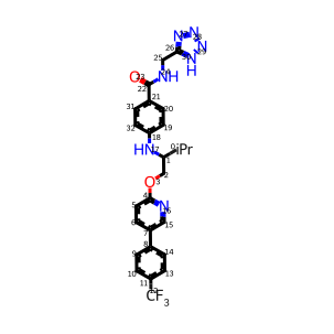 CC(C)C(COc1ccc(-c2ccc(C(F)(F)F)cc2)cn1)Nc1ccc(C(=O)NCc2nnn[nH]2)cc1